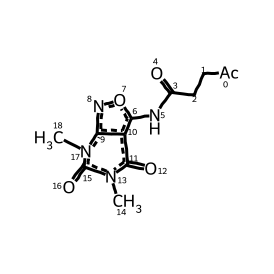 CC(=O)CCC(=O)Nc1onc2c1c(=O)n(C)c(=O)n2C